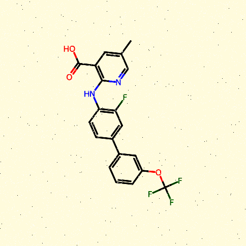 Cc1cnc(Nc2ccc(-c3cccc(OC(F)(F)F)c3)cc2F)c(C(=O)O)c1